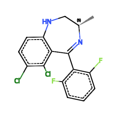 C[C@H]1CNc2ccc(Cl)c(Cl)c2C(c2c(F)cccc2F)=N1